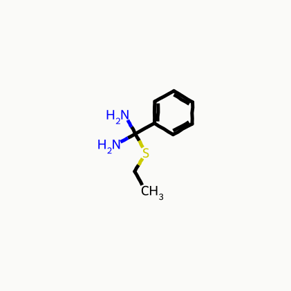 CCSC(N)(N)c1ccccc1